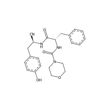 N#C[C@H](Cc1ccc(O)cc1)NC(=O)[C@H](Cc1ccccc1)NC(=O)N1CCOCC1